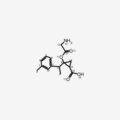 Cc1cccc(C(C)C2(OC(=O)CN)CC2C(=O)O)c1